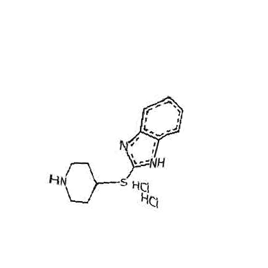 Cl.Cl.c1ccc2[nH]c(SC3CCNCC3)nc2c1